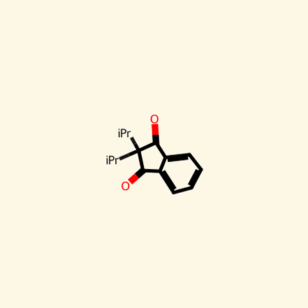 CC(C)C1(C(C)C)C(=O)c2ccccc2C1=O